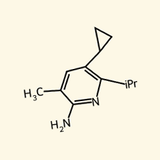 Cc1cc(C2CC2)c(C(C)C)nc1N